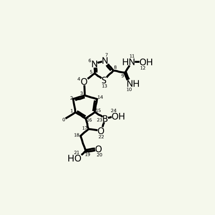 Cc1cc(Oc2nnc(C(=N)NO)s2)cc2c1C(CC(=O)O)OB2O